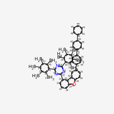 Bc1c(B)c(B)c(-c2nc(-c3c(B)c(B)c(B)c(B)c3B)nc(-c3cccc4oc5ccc(-c6ccc(-c7ccc(-c8ccccc8)cc7)cc6)cc5c34)n2)c(B)c1B